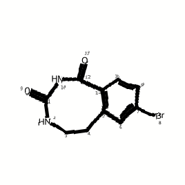 O=C1NCCc2cc(Br)ccc2C(=O)N1